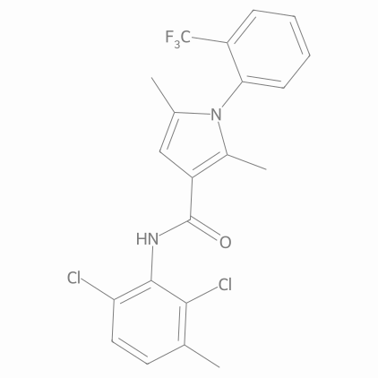 Cc1ccc(Cl)c(NC(=O)c2cc(C)n(-c3ccccc3C(F)(F)F)c2C)c1Cl